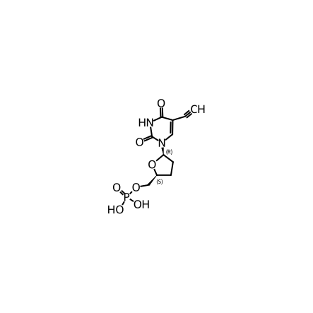 C#Cc1cn([C@H]2CC[C@@H](COP(=O)(O)O)O2)c(=O)[nH]c1=O